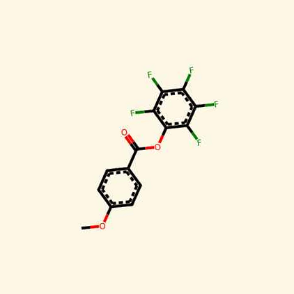 COc1ccc(C(=O)Oc2c(F)c(F)c(F)c(F)c2F)cc1